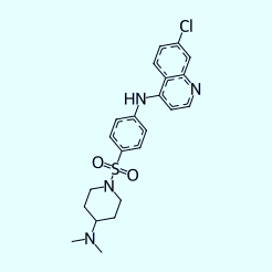 CN(C)C1CCN(S(=O)(=O)c2ccc(Nc3ccnc4cc(Cl)ccc34)cc2)CC1